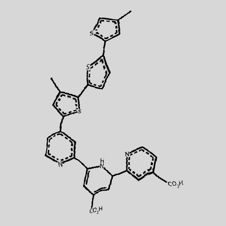 Cc1csc(-c2ccc(-c3sc(-c4ccnc(C5=CC(C(=O)O)=CC(c6cc(C(=O)O)ccn6)N5)c4)cc3C)s2)c1